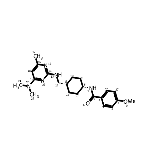 COc1ccc(C(=O)N[C@H]2CC[C@@H](CNc3nc(C)cc(N(C)C)n3)CC2)cc1